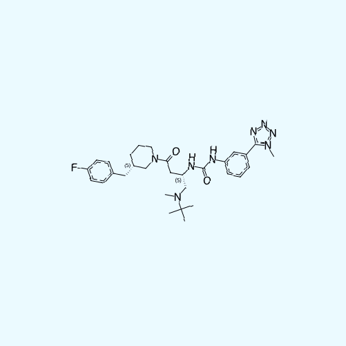 CN(C[C@H](CC(=O)N1CCC[C@@H](Cc2ccc(F)cc2)C1)NC(=O)Nc1cccc(-c2nnnn2C)c1)C(C)(C)C